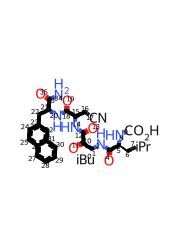 CC[C@H](C)C(NC(=O)[C@H](CC(C)C)NC(=O)O)C(=O)C(=O)NC(CC#N)C(=O)NC(Cc1ccc2ccccc2c1)C(N)=O